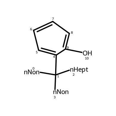 CCCCCCCCCC(CCCCCCC)(CCCCCCCCC)c1ccccc1O